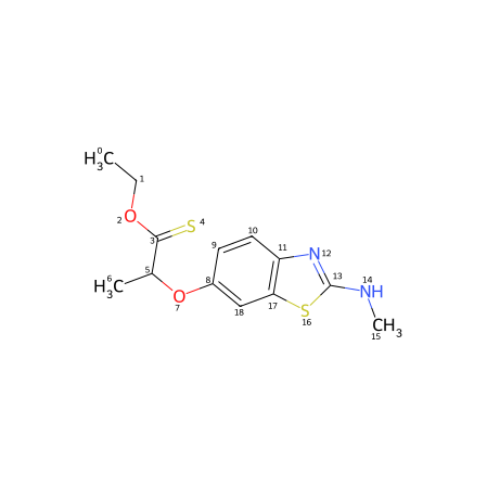 CCOC(=S)C(C)Oc1ccc2nc(NC)sc2c1